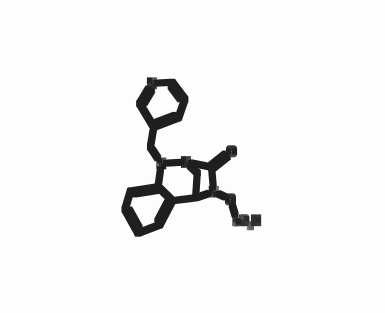 O=C1N(OS(=O)(=O)O)C2CN1N(Cc1cccnc1)c1ccccc12